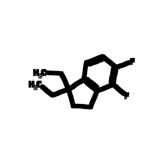 CCC1(CC)CCc2c1ccc(F)c2F